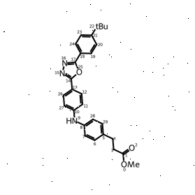 COC(=O)CCc1ccc(Nc2ccc(-c3nnc(-c4ccc(C(C)(C)C)cc4)o3)cc2)cc1